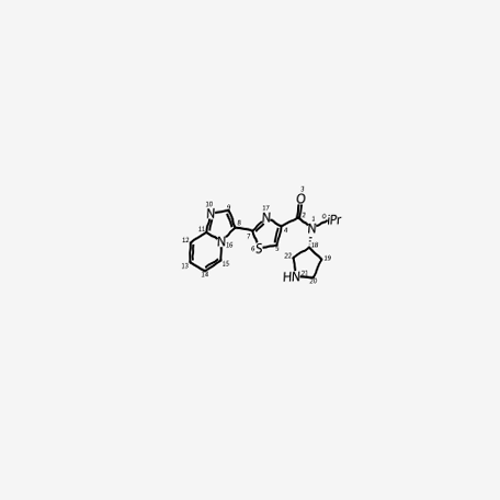 CC(C)N(C(=O)c1csc(-c2cnc3ccccn23)n1)[C@@H]1CCNC1